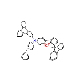 CC1(c2cccc3c2oc2cc(N(c4ccc(-c5ccccc5)cc4)c4ccc5c6ccccc6c6ccccc6c5c4)ccc23)c2ccccc2-c2ccccc21